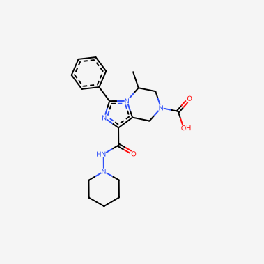 CC1CN(C(=O)O)Cc2c(C(=O)NN3CCCCC3)nc(-c3ccccc3)n21